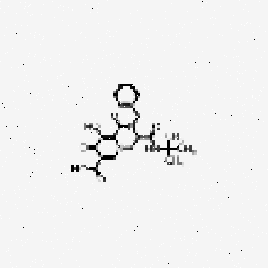 CC(C)(C)NC(=O)C1Cn2cc(C(=O)O)c(=O)c(O)c2C(=O)N1Cc1ccccc1